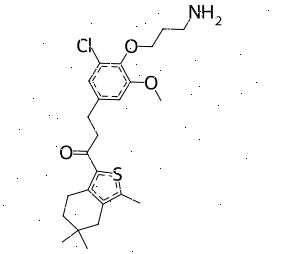 COc1cc(CCC(=O)c2sc(C)c3c2CCC(C)(C)C3)cc(Cl)c1OCCCN